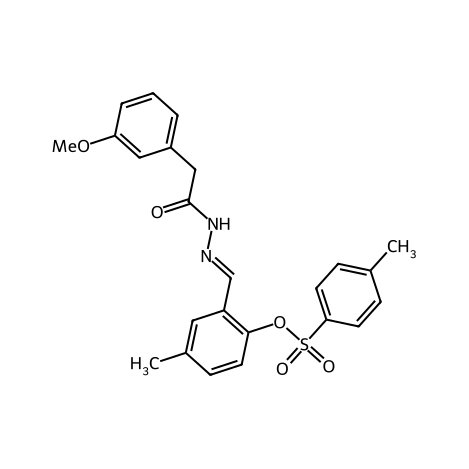 COc1cccc(CC(=O)NN=Cc2cc(C)ccc2OS(=O)(=O)c2ccc(C)cc2)c1